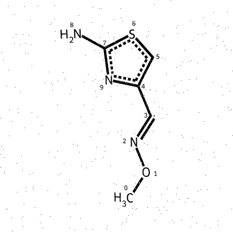 CO/N=[C]/c1csc(N)n1